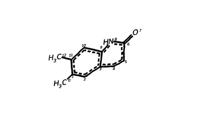 Cc1[c]c2ccc(=O)[nH]c2cc1C